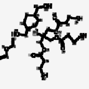 C=COC=C.CCC(COC(=O)CCS)(COC(=O)CCS)COC(=O)CCS.OCC1CCC(CO)CC1